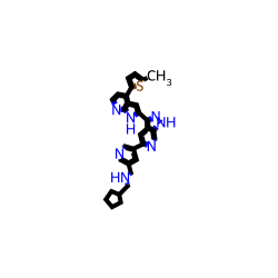 Cc1ccc(-c2ccnc3[nH]c(-c4n[nH]c5cnc(-c6cncc(CNCC7CCCC7)c6)cc45)cc23)s1